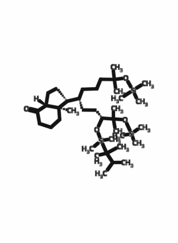 CC(C)C(C)(C)[Si](C)(C)O[C@H](CC[C@@H](CCCC(C)(C)O[Si](C)(C)C)[C@H]1CC[C@H]2C(=O)CCC[C@]12C)C(C)(C)O[Si](C)(C)C